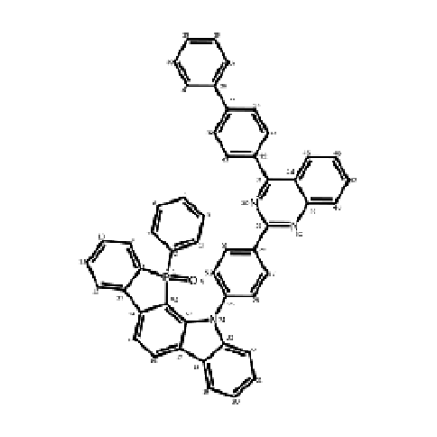 O=P1(c2ccccc2)c2ccccc2-c2ccc3c4ccccc4n(-c4ccc(-c5nc(-c6ccc(-c7ccccc7)cc6)c6ccccc6n5)cc4)c3c21